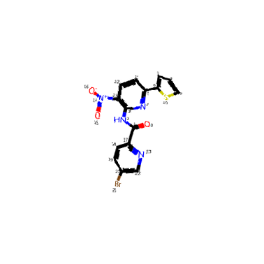 O=C(Nc1nc(-c2cccs2)ccc1[N+](=O)[O-])c1ccc(Br)cn1